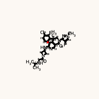 CC(C)NCC(=O)N1CC(Nc2ncc3c(c2F)[C@@](C)(c2cccc(Cl)c2F)CN(c2nn(C)cc2F)C3=O)C1